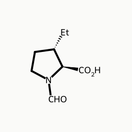 CC[C@H]1CCN(C=O)[C@@H]1C(=O)O